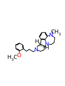 COc1ccccc1CCCN1CC[C@@H]2[C@H](C1)c1cccc3c1N2CCCN3C